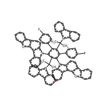 CC(C)(c1c(-c2ccc(F)cc2)c(-n2c3ccccc3c3c4oc5ccccc5c4ccc32)c(C(C)(C)n2c3ccccc3c3ccccc32)c(-n2c3ccccc3c3c4oc5ccccc5c4ccc32)c1-c1ccc(F)cc1)n1c2ccccc2c2ccccc21